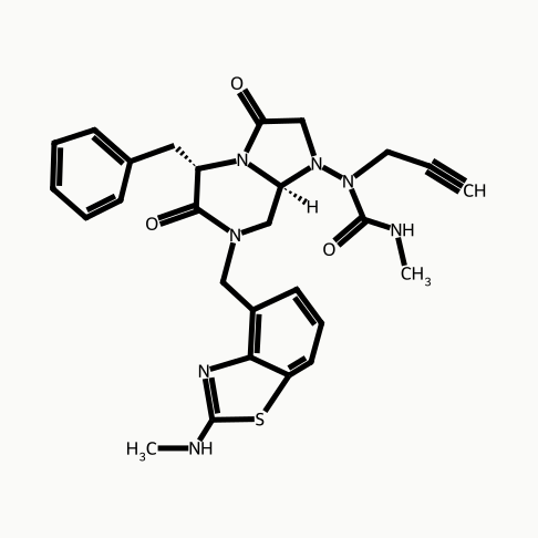 C#CCN(C(=O)NC)N1CC(=O)N2[C@@H](Cc3ccccc3)C(=O)N(Cc3cccc4sc(NC)nc34)C[C@@H]21